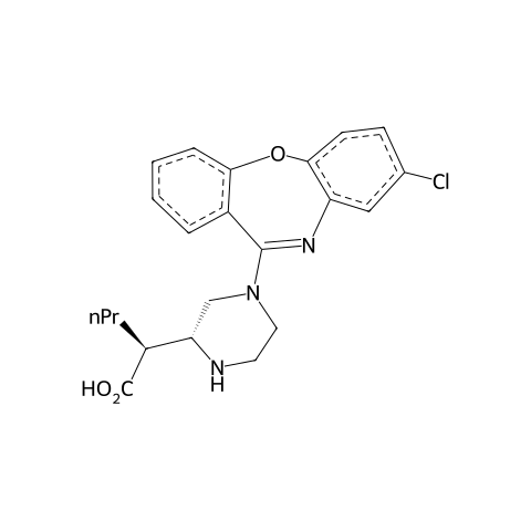 CCC[C@H](C(=O)O)[C@@H]1CN(C2=Nc3cc(Cl)ccc3Oc3ccccc32)CCN1